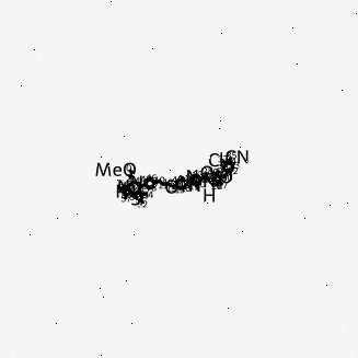 COCC[C@@H]1N=C(c2ccc(CCCOC3CCN(c4ncc(C(=O)NC5C(C)(C)C(Oc6ccc(C#N)c(Cl)c6)C5(C)C)cn4)CC3)cc2)c2c(sc(C)c2C)-n2c(C)nnc21